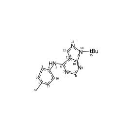 Cc1ccc(Nc2ncnc3c2cnn3C(C)(C)C)cc1